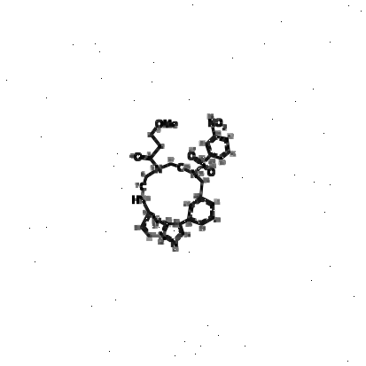 COCCC(=O)N1CCNc2ccn3ncc(c3n2)-c2cccc(c2)CN(S(=O)(=O)c2cccc([N+](=O)[O-])c2)CC1